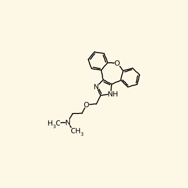 CN(C)CCOCc1nc2c([nH]1)-c1ccccc1Oc1ccccc1-2